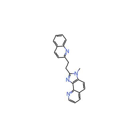 Cn1c(CCc2ccc3ccccc3n2)nc2c3ncccc3ccc21